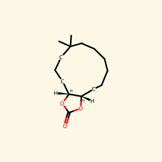 CC1(C)CCCCCC[C@@H]2OC(=O)O[C@@H]2CCC1